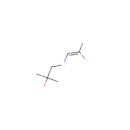 CC(C)(O)CN/C=C(\N)C(C)(C)C